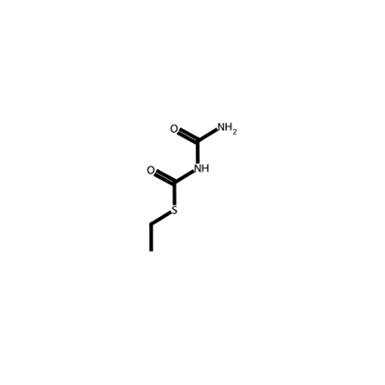 CCSC(=O)NC(N)=O